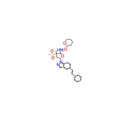 CC(CCn1ncc2cc(C=Cc3ccccc3)ccc21)(C(=O)NOC1CCCCO1)S(C)(=O)=O